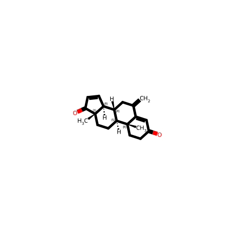 C=C1C[C@@H]2[C@H](CC[C@]3(C)C(=O)C=C[C@@H]23)[C@@]2(C)CCC(=O)C=C12